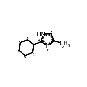 Cc1c[nH]c(C2CCCCC2)p1